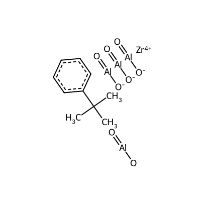 CC(C)(C)c1ccccc1.[O]=[Al][O-].[O]=[Al][O-].[O]=[Al][O-].[O]=[Al][O-].[Zr+4]